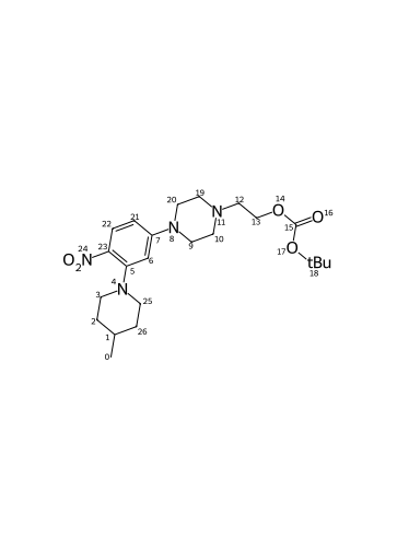 CC1CCN(c2cc(N3CCN(CCOC(=O)OC(C)(C)C)CC3)ccc2[N+](=O)[O-])CC1